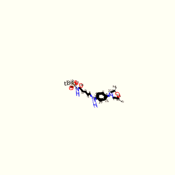 C[C@@H]1CN(c2ccc(NCCCCC(=O)NS(=O)(=O)C(C)(C)C)cc2)C[C@H](C)O1